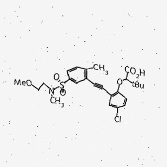 COCCN(C)S(=O)(=O)c1ccc(C)c(C#Cc2cc(Cl)ccc2OC(C(=O)O)C(C)(C)C)c1